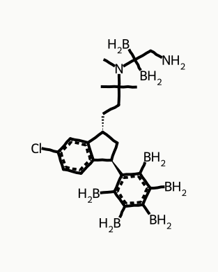 Bc1c(B)c(B)c([C@@H]2C[C@@H](CCC(C)(C)N(C)C(B)(B)CN)c3cc(Cl)ccc32)c(B)c1B